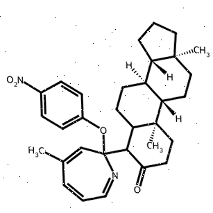 CC1=CC(Oc2ccc([N+](=O)[O-])cc2)(C2C(=O)CC[C@@]3(C)C2CC[C@H]2[C@@H]4CCC[C@@]4(C)CC[C@@H]23)N=CC=C1